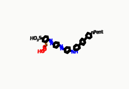 CCCCCC1CCC(c2ccc(-c3ccc(Nc4ccc(N=Nc5ccc(N=Nc6ccc(S(=O)(=O)O)cc6SOOO)cc5)cc4)cc3)cc2)CC1